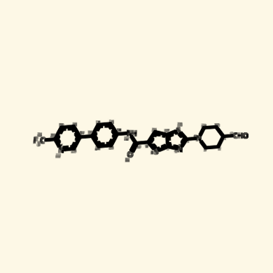 O=CC1CCN(c2nc3sc(C(=O)Nc4ccc(-c5ccc(C(F)(F)F)nc5)cc4)cc3s2)CC1